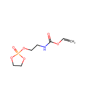 C=COC(=O)NCCOP1(=O)OCCO1